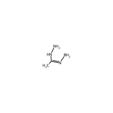 B/N=C(/C)NN